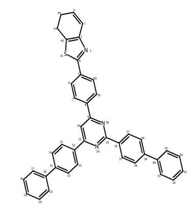 C1=Cc2nc(-c3ccc(-c4cc(-c5ccc(-c6ccccc6)cc5)nc(-c5ccc(-c6ccccc6)cc5)n4)cc3)sc2CC1